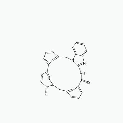 O=C1Nc2nc3ccccc3n2Cc2cccc(c2)-c2ccc(=O)n(n2)Cc2cccc1c2